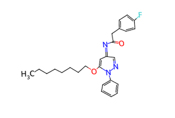 CCCCCCCCOc1cc(=NC(=O)Cc2ccc(F)cc2)cnn1-c1ccccc1